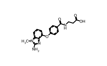 Cn1c(N)nc2c(Oc3ccc(C(=O)NCCC(=O)O)cc3)cccc21